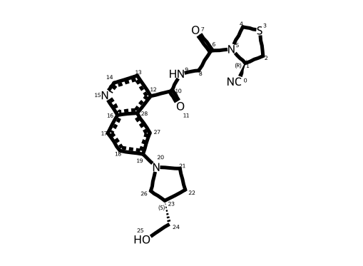 N#C[C@@H]1CSCN1C(=O)CNC(=O)c1ccnc2ccc(N3CC[C@H](CO)C3)cc12